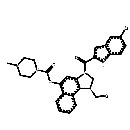 CCc1ccc2[nH]c(C(=O)N3C[C@@H](CCl)c4c3cc(OC(=O)N3CCN(C)CC3)c3ccccc43)cc2c1